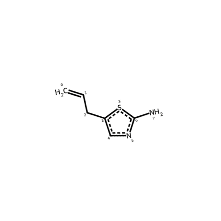 C=CCc1cnc(N)s1